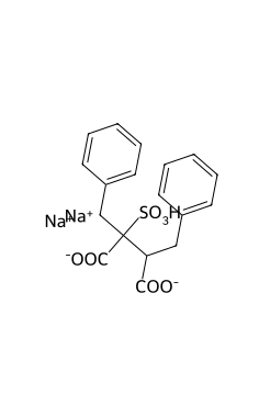 O=C([O-])C(Cc1ccccc1)C(Cc1ccccc1)(C(=O)[O-])S(=O)(=O)O.[Na+].[Na+]